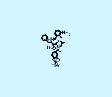 CNc1nc2ccc(S(=O)(=O)N(CC(C)C)CC(O)C(Cc3ccccc3)NC(=O)c3cccc(N)c3C)cc2o1